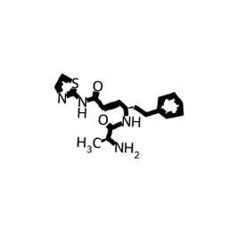 C[C@H](N)C(=O)N[C@H](/C=C/C(=O)Nc1nccs1)CCc1ccccc1